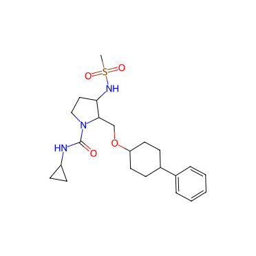 CS(=O)(=O)NC1CCN(C(=O)NC2CC2)C1COC1CCC(c2ccccc2)CC1